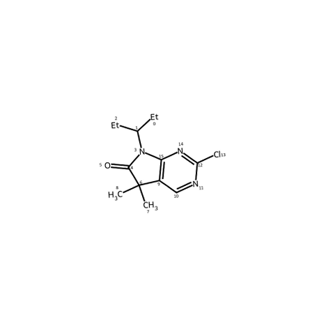 CCC(CC)N1C(=O)C(C)(C)c2cnc(Cl)nc21